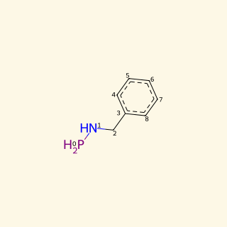 PNCc1ccccc1